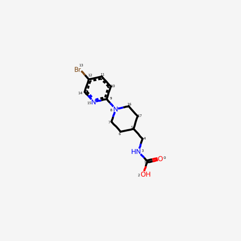 O=C(O)NCC1CCN(c2ccc(Br)cn2)CC1